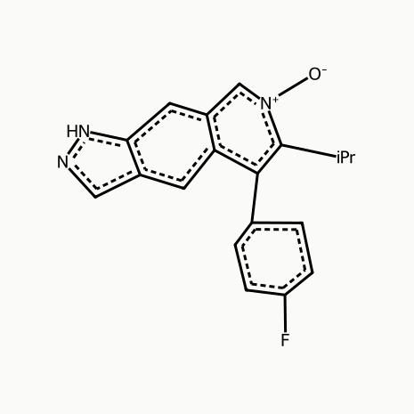 CC(C)c1c(-c2ccc(F)cc2)c2cc3cn[nH]c3cc2c[n+]1[O-]